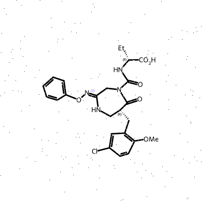 CC[C@@H](NC(=O)N1C/C(=N/Oc2ccccc2)NC[C@@H](Cc2cc(Cl)ccc2OC)C1=O)C(=O)O